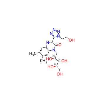 Cc1cc2nc(-c3nnnn3CCO)c(=O)n(C[C@H](O)[C@H](O)[C@H](O)CO)c2cc1C